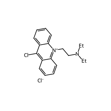 CCN(CC)CC[n+]1c2ccccc2c(Cl)c2ccccc21.[Cl-]